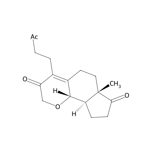 CC(=O)CCC1=C2CC[C@]3(C)C(=O)CC[C@H]3[C@@H]2OCC1=O